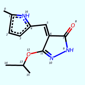 Cc1ccc(C=C2C(=O)NN=C2OC(C)C)[nH]1